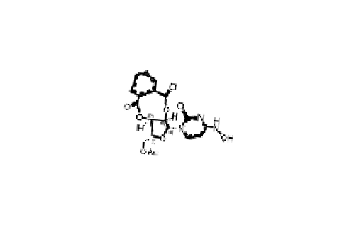 CC(=O)OC[C@H]1O[C@@H](n2ccc(NO)nc2=O)[C@@H]2OC(=O)c3ccccc3C(=O)O[C@@H]21